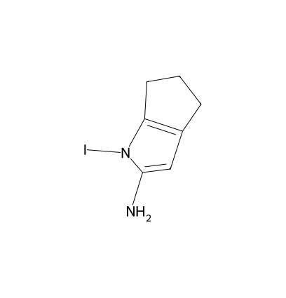 Nc1cc2c(n1I)CCC2